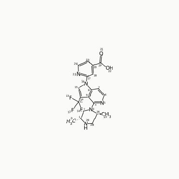 C[C@@H]1CN(c2nccc3c2c(C(F)(F)F)cn3-c2cc(C(=O)O)ccn2)[C@@H](C)CN1